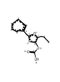 CCc1oc(-c2ccccc2)nc1OC(=O)O